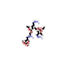 CCO[SiH](CCCCN)OCC.CCO[Si](CCCN)(OCC)OCC.CO[Si](CCCN)(OC)OC